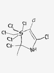 CC1(Cl)NC(Cl)=C(Cl)S1(Cl)(Cl)(Cl)Cl